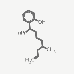 C=CCC(C)CCCC(CCC)c1ccccc1O